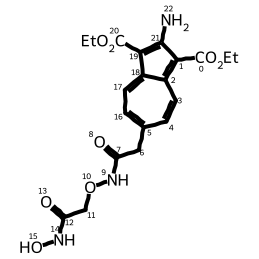 CCOC(=O)c1c2ccc(CC(=O)NOCC(=O)NO)ccc-2c(C(=O)OCC)c1N